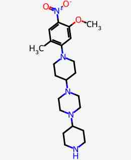 COc1cc(N2CCC(N3CCN(C4CCNCC4)CC3)CC2)c(C)cc1[N+](=O)[O-]